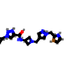 O=C(NC1CN(Cc2cnn(Cc3nccs3)c2)C1)c1cn(C2CC2)nn1